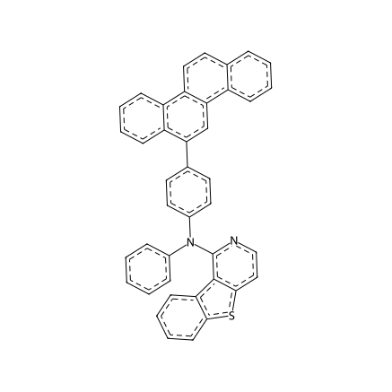 c1ccc(N(c2ccc(-c3cc4c5ccccc5ccc4c4ccccc34)cc2)c2nccc3sc4ccccc4c23)cc1